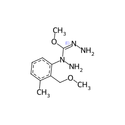 COCc1c(C)cccc1N(N)/C(=N\N)OC